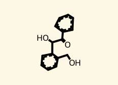 O=C(c1ccccc1)C(O)c1ccccc1CO